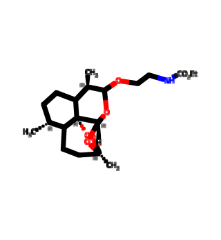 CCOC(=O)NCCOC1O[C@@H]2O[C@]3(C)CCC4[C@H](C)CCC([C@H]1C)[C@]42OO3